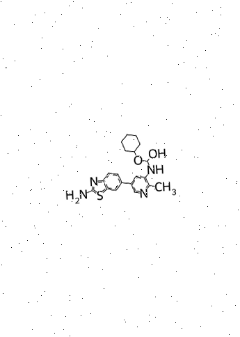 Cc1ncc(-c2ccc3nc(N)sc3c2)cc1NC(O)OC1CCCCC1